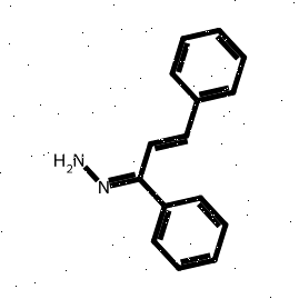 N/N=C(\C=C\c1ccccc1)c1ccccc1